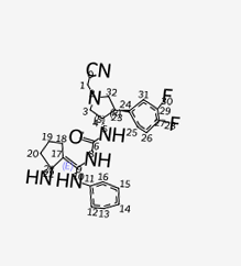 N#CCN1C[C@@H](NC(=O)N/C(Nc2ccccc2)=C2\CCCC2=N)[C@H](c2ccc(F)c(F)c2)C1